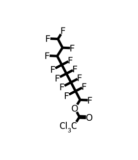 O=C(OC(F)C(F)(F)C(F)(F)C(F)(F)C(F)(F)C(F)C(F)C(F)F)C(Cl)(Cl)Cl